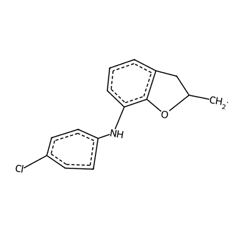 [CH2]C1Cc2cccc(Nc3ccc(Cl)cc3)c2O1